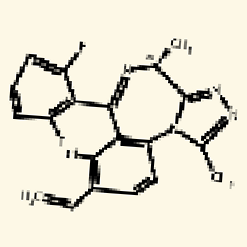 C=Cc1ccc2c(c1Cl)C(c1c(F)cccc1F)=N[C@@H](C)c1nnc(C)n1-2